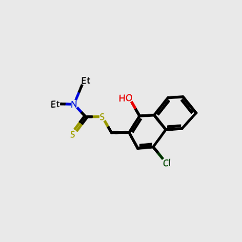 CCN(CC)C(=S)SCc1cc(Cl)c2ccccc2c1O